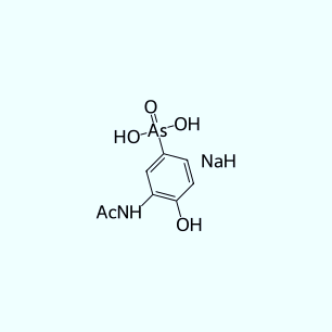 CC(=O)Nc1cc([As](=O)(O)O)ccc1O.[NaH]